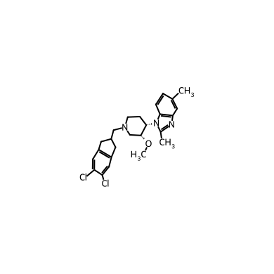 CO[C@@H]1CN(CC2Cc3cc(Cl)c(Cl)cc3C2)CC[C@@H]1n1c(C)nc2cc(C)ccc21